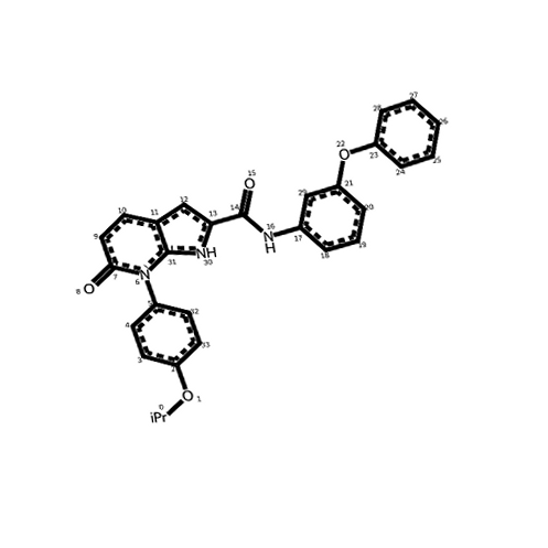 CC(C)Oc1ccc(-n2c(=O)ccc3cc(C(=O)Nc4cccc(Oc5ccccc5)c4)[nH]c32)cc1